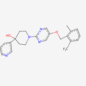 Cc1cccc(C(F)(F)F)c1COc1cnc(N2CCC(O)(c3cccnc3)CC2)nc1